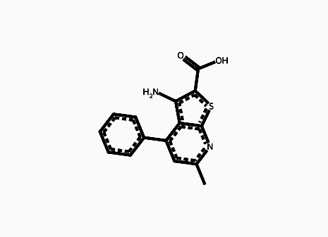 Cc1cc(-c2ccccc2)c2c(N)c(C(=O)O)sc2n1